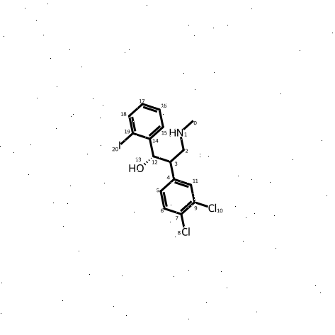 CNCC(c1ccc(Cl)c(Cl)c1)[C@H](O)c1ccccc1I